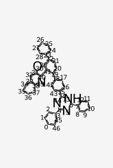 c1ccc(C2=NC(c3ccccc3)NC(c3ccc(-c4ccc(-c5ccccc5)c5oc6cc7ccccc7nc6c45)cc3)=N2)cc1